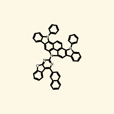 c1ccc(-n2c3ccccc3c3cc4c5c(ccc6c5c(cc5c7ccccc7n(-c7ccccc7)c56)n4-c4nc(-c5ccc6ccccc6c5)c5c(n4)oc4ccccc45)c32)cc1